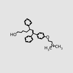 CN(C)CCOc1ccc(/C(=C/C(CCCCO)c2ccccc2)c2ccccc2)cc1